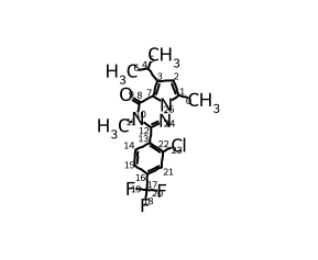 Cc1cc(C(C)C)c2c(=O)n(C)c(-c3ccc(C(F)(F)F)cc3Cl)nn12